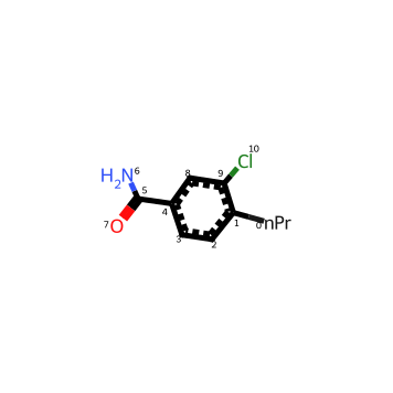 CCCc1ccc(C(N)=O)cc1Cl